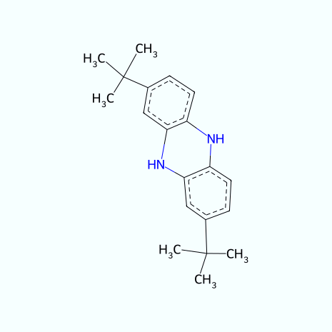 CC(C)(C)c1ccc2c(c1)Nc1cc(C(C)(C)C)ccc1N2